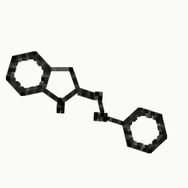 c1ccc(NN=C2Cc3ccccc3N2)cc1